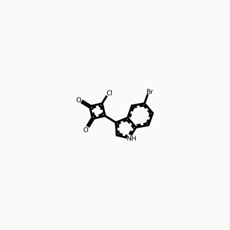 O=c1c(Cl)c(-c2c[nH]c3ccc(Br)cc23)c1=O